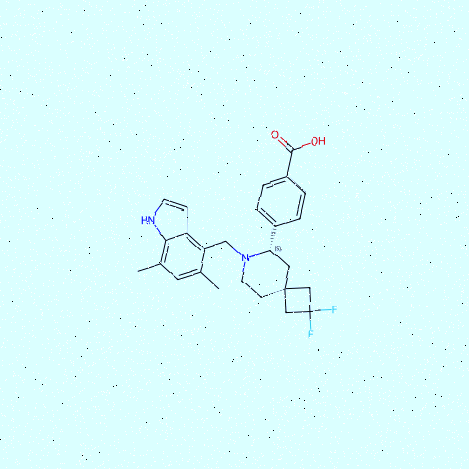 Cc1cc(C)c2[nH]ccc2c1CN1CCC2(C[C@H]1c1ccc(C(=O)O)cc1)CC(F)(F)C2